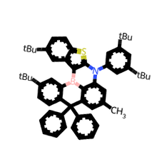 Cc1cc2c3c(c1)C(c1ccccc1)(c1ccccc1)c1ccc(C(C)(C)C)cc1B3c1c(sc3ccc(C(C)(C)C)cc13)N2c1cc(C(C)(C)C)cc(C(C)(C)C)c1